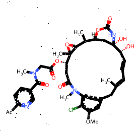 COc1cc2cc(c1Cl)N(C)C(=O)C[C@H](OC(=O)CN(C)C(=O)c1ccc(C(C)=O)nc1)C1(C)OC1C(C)[C@@H]1C[C@@](O)(NC(=O)O1)[C@H](O)/C=C/C=C(\C)C2